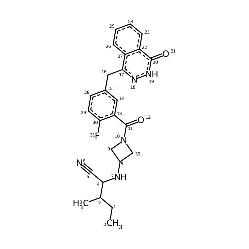 CCC(C)C(C#N)NC1CN(C(=O)c2cc(Cc3n[nH]c(=O)c4ccccc34)ccc2F)C1